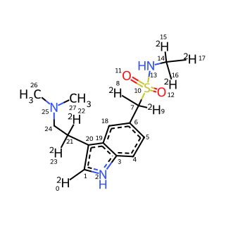 [2H]c1[nH]c2ccc(C([2H])([2H])S(=O)(=O)NC([2H])([2H])[2H])cc2c1C([2H])([2H])CN(C)C